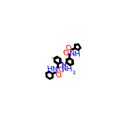 NN(c1cccc(C(=O)NC(=O)C2CCCC2)c1)c1cc[c]cc1C(=O)NC(=O)C1CCCCC1